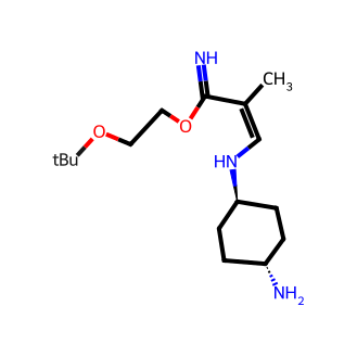 C/C(=C/N[C@H]1CC[C@H](N)CC1)C(=N)OCCOC(C)(C)C